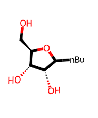 CCCCC1O[C@H](CO)[C@@H](O)[C@H]1O